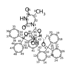 Cc1cn([C@@H]2O[C@H](COC(c3ccccc3)(c3ccccc3)c3ccccc3)[C@@H](O)[C@H]2OC(c2ccccc2)(c2ccccc2)c2ccccc2)c(=O)[nH]c1=O